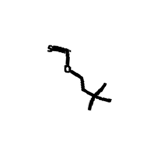 CC(C)(C)CCO[C]=S